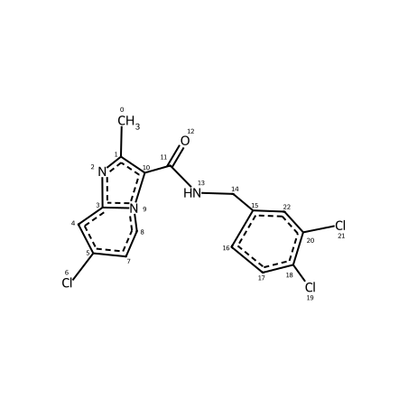 Cc1nc2cc(Cl)ccn2c1C(=O)NCc1ccc(Cl)c(Cl)c1